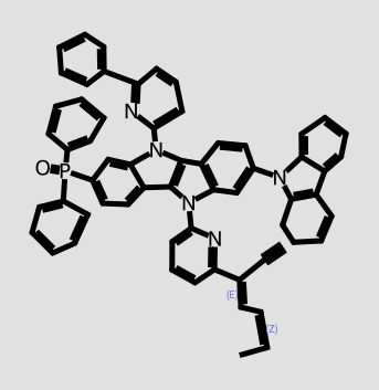 C#C/C(=C\C=C/C)c1cccc(-n2c3cc(-n4c5c(c6ccccc64)C=CCC5)ccc3c3c2c2ccc(P(=O)(c4ccccc4)c4ccccc4)cc2n3-c2cccc(-c3ccccc3)n2)n1